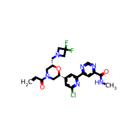 C=CC(=O)N1C[C@H](CN2CC(F)(F)C2)O[C@H](c2cc(Cl)nc(-c3cc(C(=O)NC)ncn3)c2)C1